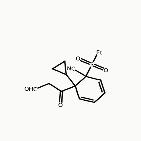 CCS(=O)(=O)C1(C#N)C=CC=CC1(C(=O)CC=O)C1CC1